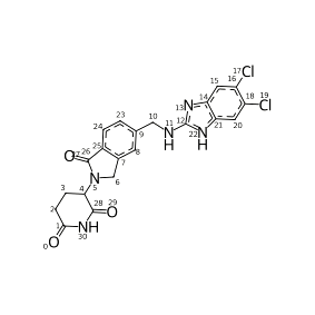 O=C1CCC(N2Cc3cc(CNc4nc5cc(Cl)c(Cl)cc5[nH]4)ccc3C2=O)C(=O)N1